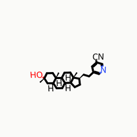 C[C@@]1(O)CC[C@@]2(C)[C@H](CC[C@@H]3[C@@H]2CC[C@]2(C)[C@@H](CCc4cncc(C#N)c4)CC[C@@H]32)C1